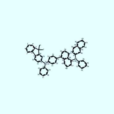 CC1(C)c2ccccc2-c2ccc(N(c3ccccc3)c3ccc(-c4cccc5c(N(c6ccccc6)c6ccc7ccccc7c6)cccc45)cc3)cc21